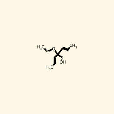 CC=CC(C=CC)(OSC)SO